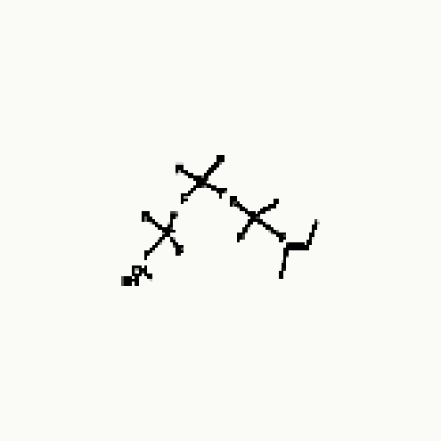 C.CC=CC.F[B-](F)(F)F.F[B-](F)(F)F.F[B-](F)(F)F.[KH]